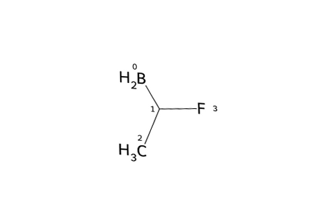 BC(C)F